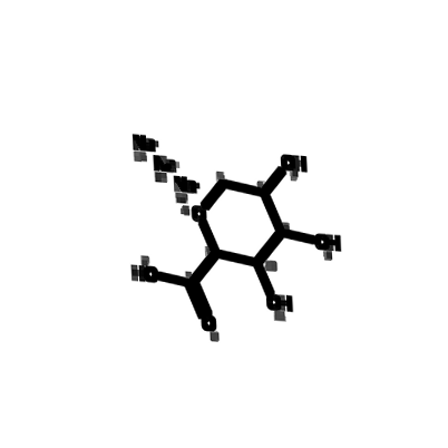 O=C(O)C1OCC(O)C(O)C1O.[Na].[Na].[Na]